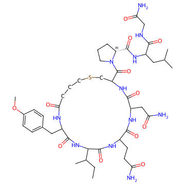 CCC(C)C1NC(=O)C(Cc2ccc(OC)cc2)NC(=O)CCCSCC(C(=O)N2CCC[C@@H]2C(=O)NC(CC(C)C)C(=O)NCC(N)=O)NC(=O)C(CC(N)=O)NC(=O)C(CCC(N)=O)NC1=O